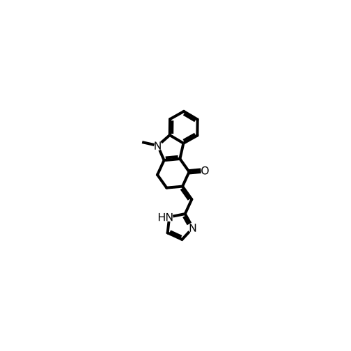 Cn1c2c(c3ccccc31)C(=O)/C(=C/c1ncc[nH]1)CC2